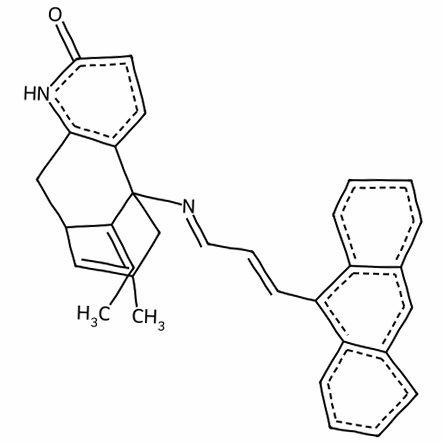 C/C=C1\C2C=C(C)CC1(/N=C/C=C/c1c3ccccc3cc3ccccc13)c1ccc(=O)[nH]c1C2